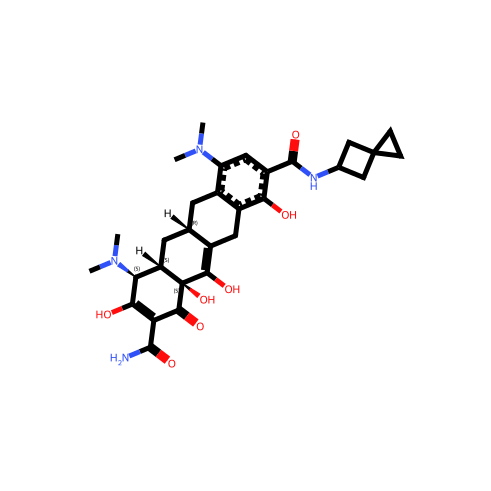 CN(C)c1cc(C(=O)NC2CC3(CC3)C2)c(O)c2c1C[C@H]1C[C@H]3[C@H](N(C)C)C(O)=C(C(N)=O)C(=O)[C@@]3(O)C(O)=C1C2